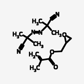 C=C(C)C(=O)OCC1CO1.CC(C)(C#N)N=NC(C)(C)C#N